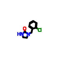 O=C1NCCN1Cc1ccccc1Cl